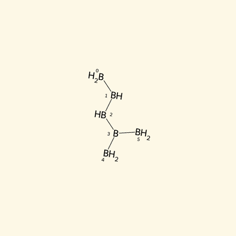 BBBB(B)B